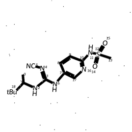 CC(NC(=NC#N)Nc1ccc(NS(C)(=O)=O)nc1)C(C)(C)C